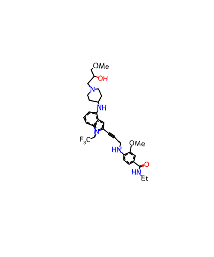 CCNC(=O)c1ccc(NCC#Cc2cc3c(NC4CCN(CC(O)COC)CC4)cccc3n2CC(F)(F)F)c(OC)c1